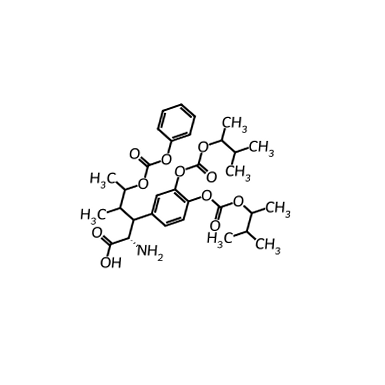 CC(C)C(C)OC(=O)Oc1ccc(C(C(C)C(C)OC(=O)Oc2ccccc2)[C@H](N)C(=O)O)cc1OC(=O)OC(C)C(C)C